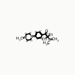 CCC(CC)(C(=O)c1ccc(N2CCN(C)CC2)cc1)N(C)C